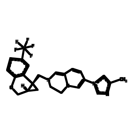 Cc1cn(C2=CN3CCN(C[C@@]45C[C@@H]4COc4ccc(S(F)(F)(F)(F)F)cc45)C=C3C=C2)cn1